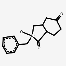 O=C1CCC2C(=O)[N+]([O-])(Cc3ccccc3)CC2C1